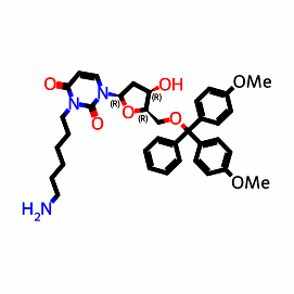 COc1ccc(C(OC[C@H]2O[C@@H](n3ccc(=O)n(CCCCCCN)c3=O)C[C@H]2O)(c2ccccc2)c2ccc(OC)cc2)cc1